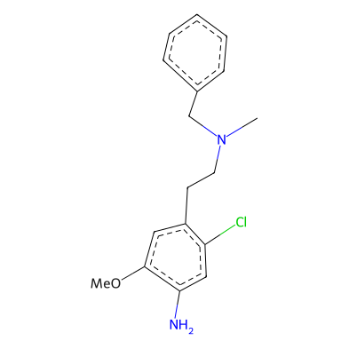 COc1cc(CCN(C)Cc2ccccc2)c(Cl)cc1N